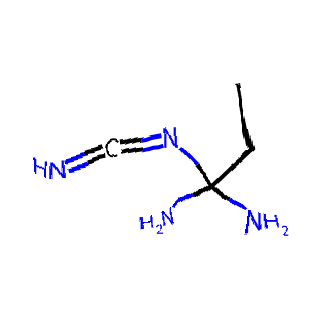 CCC(N)(N)N=C=N